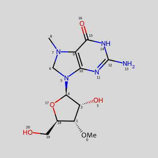 CO[C@H]1[C@@H](O)[C@H](N2CN(C)c3c2nc(N)[nH]c3=O)O[C@@H]1CO